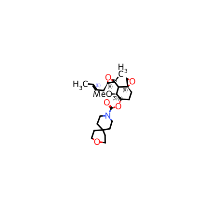 C/C=C/C[C@H]1O[C@]1(C)C1[C@H](OC)[C@H](OC(=O)N2CCC3(CCOCC3)CC2)CC[C@]12CO2